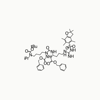 Cc1c(C)c(S(=O)(=O)NC(=N)NCCCC(CC(=O)OCc2ccccc2)NC(=O)N(CCCCN(C(=O)OC(C)(C)C)C(C)C)NC(=O)OCc2ccccc2)c(C)c2c1OC(C)(C)C2